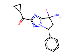 NC1(I)C[C@H](c2ccccc2)n2nc(C(=O)C3CC3)nc21